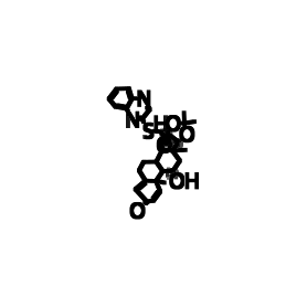 CC1(C)O[C@@H]2CC3C4CCC5=CC(=O)C=CC5(C)C4[C@@H](O)CC3(C)[C@]2(C(=O)CSc2cnc3ccccc3n2)O1